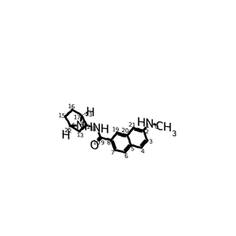 CNc1ccc2ccc(C(=O)N[C@@H]3C[C@H]4CC[C@@H]3N4)cc2c1